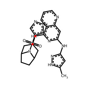 Cc1cc(Nc2cc3ncccc3c(NC3CC4CCC(C3)N4S(=O)(=O)c3cn[nH]c3)n2)n[nH]1